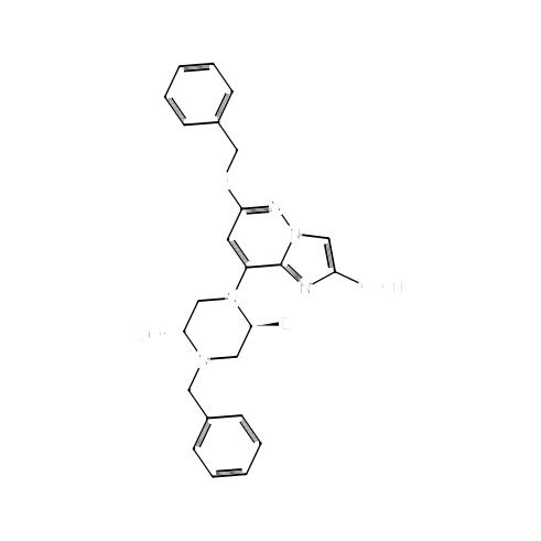 CC[C@@H]1CN(c2cc(OCc3ccccc3)nn3cc(C(=O)O)nc23)[C@@H](CC)CN1Cc1ccccc1